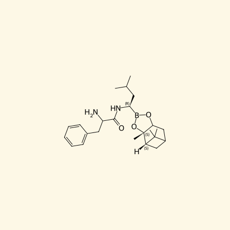 CC(C)C[C@H](NC(=O)C(N)Cc1ccccc1)B1OC2CC3C[C@@H](C3(C)C)[C@]2(C)O1